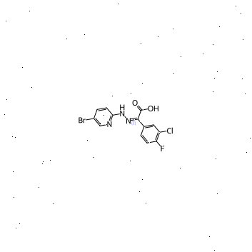 O=C(O)/C(=N\Nc1ccc(Br)cn1)c1ccc(F)c(Cl)c1